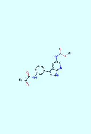 CCC(=O)C(=O)Nc1cccc(-c2c[nH]c3ncc(NC(=O)OC(C)C)cc23)c1